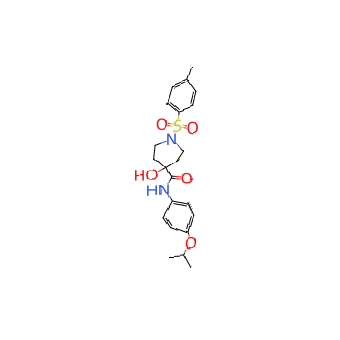 Cc1ccc(S(=O)(=O)N2CCC(O)(C(=O)Nc3ccc(OC(C)C)cc3)CC2)cc1